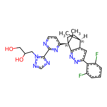 CC1(C)[C@H]2CC[C@@]1(c1ccnc(-c3ncnn3CC(O)CO)n1)c1nnc(-c3c(F)cccc3F)cc12